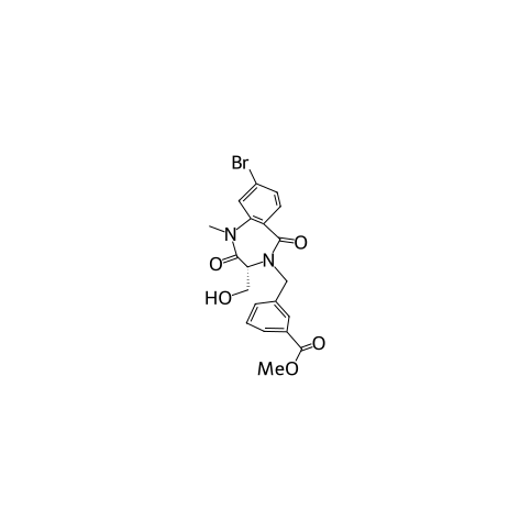 COC(=O)c1cccc(CN2C(=O)c3ccc(Br)cc3N(C)C(=O)[C@H]2CO)c1